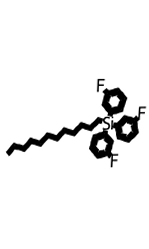 CCCCCCCCCCCC[Si](c1cccc(F)c1)(c1cccc(F)c1)c1cccc(F)c1